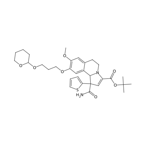 COc1cc2c(cc1OCCCOC1CCCCO1)C1N(CC2)C(C(=O)OC(C)(C)C)=CC1(C(N)=O)c1cccs1